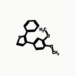 COc1ccc(-c2ccsc2-c2ccccc2)cc1OC